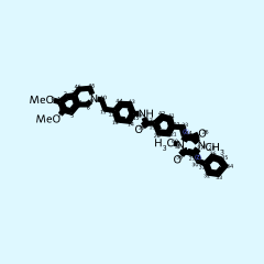 COc1cc2c(cc1OC)CN(CCc1ccc(NC(=O)c3ccc(/C=c4/c(=O)n(C)/c(=C\c5ccccc5)c(=O)n4C)cc3)cc1)CC2